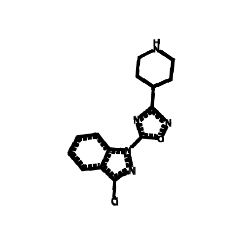 Clc1nn(-c2nc(C3CCNCC3)no2)c2ccccc12